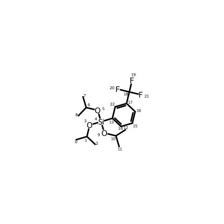 CC(C)O[Si](OC(C)C)(OC(C)C)c1cccc(C(F)(F)F)c1